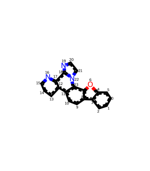 c1ccc2c(c1)oc1c2ccc2c3cccnc3c3nccn3c21